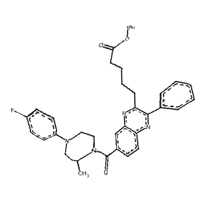 CC1CN(c2ccc(F)cc2)CCN1C(=O)c1ccc2nc(-c3ccccc3)c(CCCCC(=O)OC(C)(C)C)nc2c1